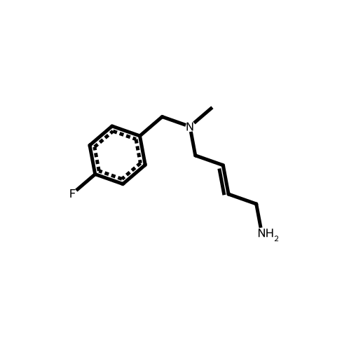 CN(C/C=C/CN)Cc1ccc(F)cc1